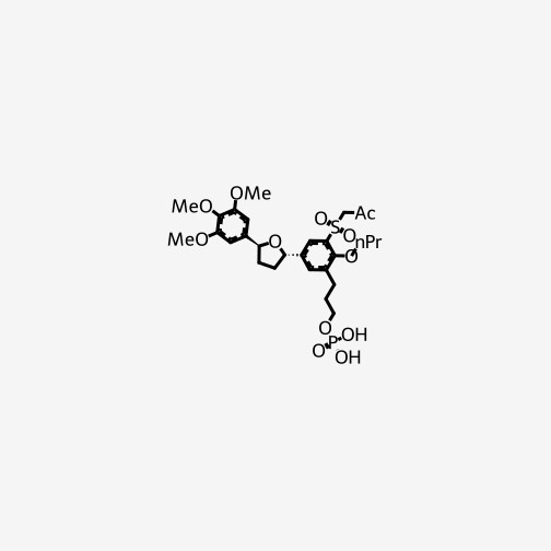 CCCOc1c(CCCOP(=O)(O)O)cc([C@@H]2CC[C@@H](c3cc(OC)c(OC)c(OC)c3)O2)cc1S(=O)(=O)CC(C)=O